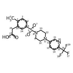 Cc1ccc(S(=O)(=O)N2CCN(c3ccc(C(F)(F)F)nc3)CC2)cc1CC(=O)O